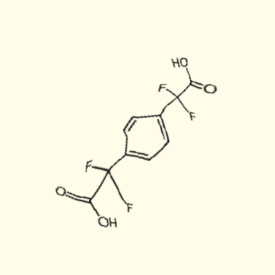 O=C(O)C(F)(F)c1ccc(C(F)(F)C(=O)O)cc1